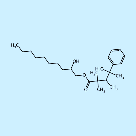 CCCCCCCCC(O)COC(=O)C(C)(C)C(C)C(C)(C)c1ccccc1